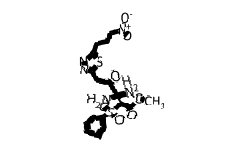 COC(=O)[C@H](C(N)(N)C(=O)Cc1nnc(CCC[N+](=O)[O-])s1)S(=O)(=O)c1ccccc1